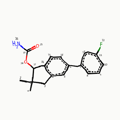 CC1(C)Cc2cc(-c3cccc(F)c3)ccc2C1OC(N)=O